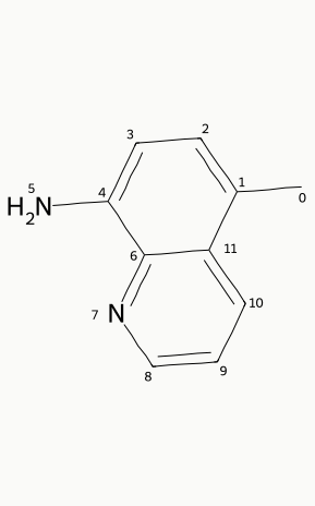 Cc1ccc(N)c2ncccc12